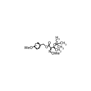 C=C(O[Si](C)(C)C)C(=NOC)C(=O)OCc1ccc(OC)cc1